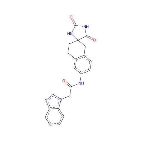 O=C(Cn1cnc2ccccc21)Nc1ccc2c(c1)CCC1(C2)NC(=O)NC1=O